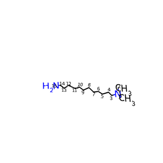 CN(C)CCCCCCCCCCCCN